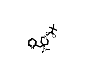 CN(C)C1(Cc2ccccn2)CCN(OC(=O)C(C)(C)C)CC1